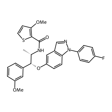 COc1cccc([C@@H](Oc2ccc3c(cnn3-c3ccc(F)cc3)c2)[C@H](C)NC(=O)c2sccc2OC)c1